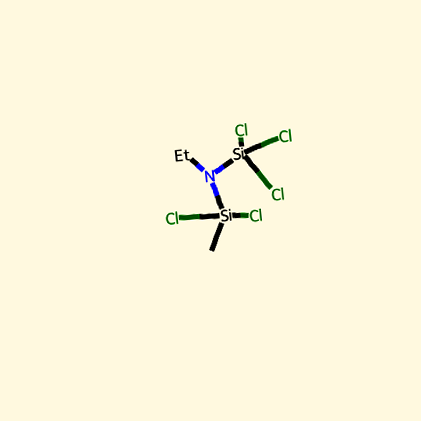 CCN([Si](C)(Cl)Cl)[Si](Cl)(Cl)Cl